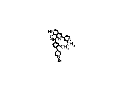 Cc1cc(-c2cc3cc[nH]c(=O)c3c(Nc3ccc(C4CCN(C5CC5)CC4)c(C)c3)n2)ccn1